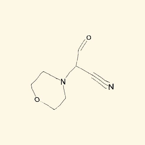 N#CC(C=O)N1CCOCC1